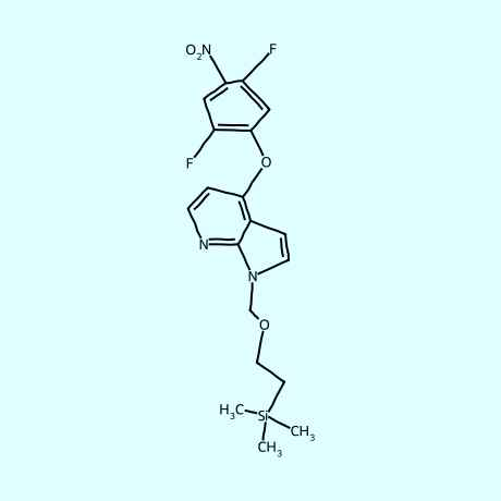 C[Si](C)(C)CCOCn1ccc2c(Oc3cc(F)c([N+](=O)[O-])cc3F)ccnc21